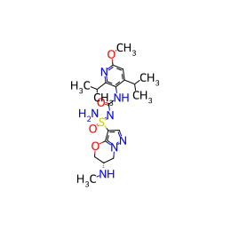 CN[C@@H]1COc2c([S@@](N)(=O)=NC(=O)Nc3c(C(C)C)cc(OC)nc3C(C)C)cnn2C1